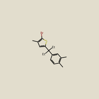 CCC(CC)(c1ccc(C)c(C)c1)c1cc(C)c(Br)s1